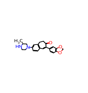 C[C@H]1CN(c2ccc3c(c2)CCC(=O)C(c2ccc4c(c2)OCO4)=C3)CCN1